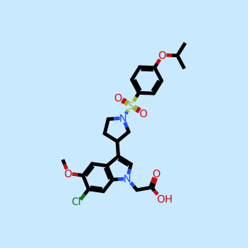 COc1cc2c(C3CCN(S(=O)(=O)c4ccc(OC(C)C)cc4)C3)cn(CC(=O)O)c2cc1Cl